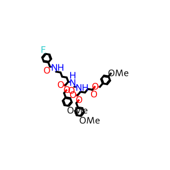 COc1ccc(COC(=O)CCC(NC(=O)NC(CCCCNC(=O)c2ccc(F)cc2)C(=O)OCc2ccc(OC)cc2)C(=O)OCc2ccc(OC)cc2)cc1